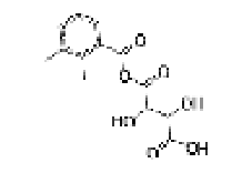 Cc1cccc(C(=O)OC(=O)C(O)C(O)C(=O)O)c1C